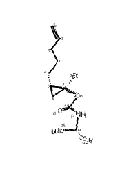 C=CCCC[C@H]1C[C@]1(CC)OC(=O)N[C@H](C(=O)O)C(C)(C)C